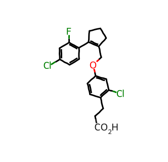 O=C(O)CCc1ccc(OCC2=C(c3ccc(Cl)cc3F)CCC2)cc1Cl